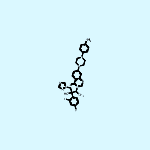 CC(n1cnc2cc(N3CCN(c4ccc(N)cc4)CC3)ccc2c1=O)C(O)(Cn1cncn1)c1ccc(F)cc1F